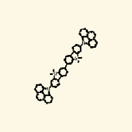 C[Si]1(C)c2cc(-c3ccc4c(c3)[Si](C)(C)c3cc(-n5c6cccc7ccc8cccc5c8c76)ccc3-4)ccc2-c2ccc(-n3c4cccc5ccc6cccc3c6c54)cc21